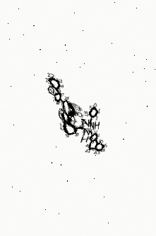 c1ccc(C2=NC(c3cccc4oc5c(-c6ccc7oc8ccccc8c7c6)cccc5c34)NC(c3ccc4c(ccc5ccccc54)c3)N2)cc1